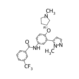 CN1CC[C@@H](Oc2ccc(NC(=O)c3cccc(C(F)(F)F)c3)cc2-c2ccnn2C)C1